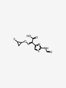 O=CNc1nc(C(=NOC2CC2F)C(=O)O)cs1